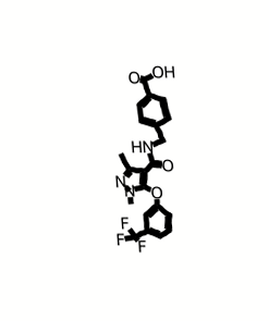 Cc1nn(C)c(Oc2cccc(C(F)(F)F)c2)c1C(=O)NCc1ccc(C(=O)O)cc1